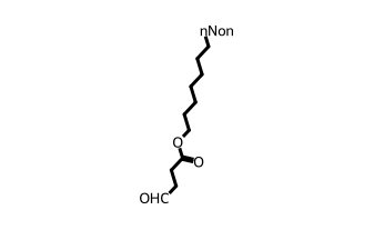 CCCCCCCCCCCCCCCCOC(=O)CCC=O